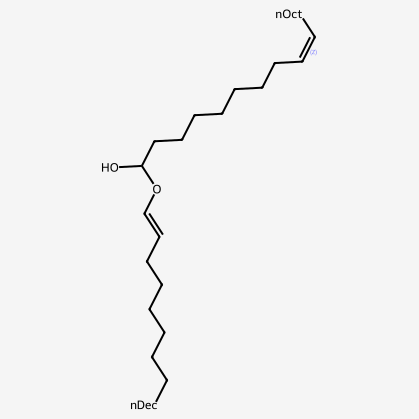 CCCCCCCC/C=C\CCCCCCCC(O)OC=CCCCCCCCCCCCCCCCC